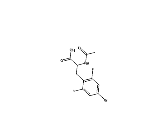 CC(=O)NC(Cc1c(F)cc(Br)cc1F)C(=O)O